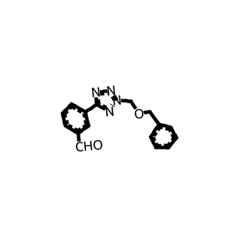 O=Cc1cccc(-c2nnn(COCc3ccccc3)n2)c1